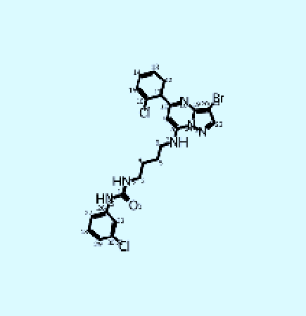 O=C(NCCCCNc1cc(C2CC=CC=C2Cl)nc2c(Br)cnn12)Nc1cccc(Cl)c1